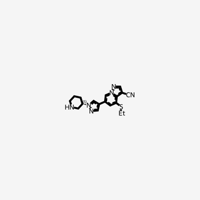 CCSc1cc(-c2cnn([C@H]3CCCNC3)c2)cn2ncc(C#N)c12